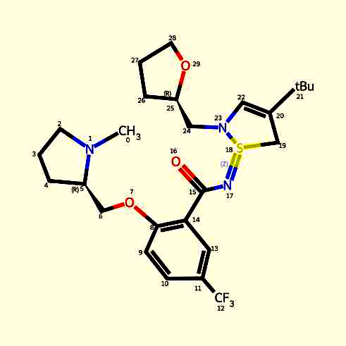 CN1CCC[C@@H]1COc1ccc(C(F)(F)F)cc1C(=O)/N=S1/CC(C(C)(C)C)=CN1C[C@H]1CCCO1